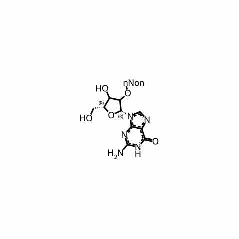 CCCCCCCCCOC1C(O)[C@@H](CO)O[C@H]1n1cnc2c(=O)[nH]c(N)nc21